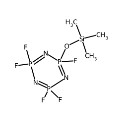 C[Si](C)(C)OP1(F)=NP(F)(F)=NP(F)(F)=N1